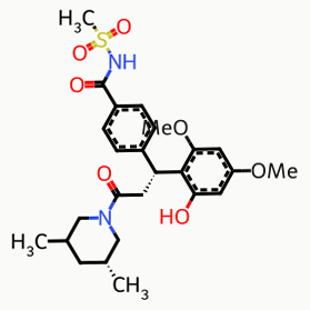 COc1cc(O)c([C@H](CC(=O)N2CC(C)C[C@@H](C)C2)c2ccc(C(=O)NS(C)(=O)=O)cc2)c(OC)c1